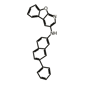 c1ccc(-c2ccc3ccc(Nc4cnc5oc6ccccc6c5c4)cc3c2)cc1